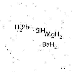 [BaH2].[MgH2].[PbH2].[SiH4]